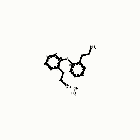 Cl.Cl.NCCc1ccccc1Sc1ccccc1CCN